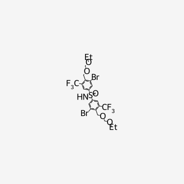 CCOCOCc1c(Br)cc(S(=N)(=O)c2cc(Br)c(COCOCC)c(C(F)(F)F)c2)cc1C(F)(F)F